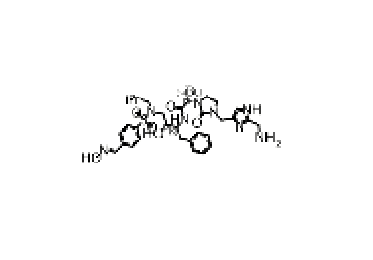 CC[C@H](C)[C@@H](C(=O)N[C@@H](Cc1ccccc1)[C@@H](O)CN(CC(C)C)S(=O)(=O)c1ccc(C=NO)cc1)N1CCN(Cc2c[nH]c(CN)n2)C1=O